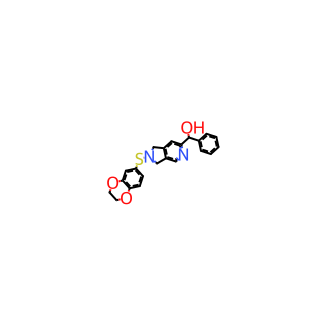 OC(c1ccccc1)c1cc2c(cn1)CN(Sc1ccc3c(c1)OCCO3)C2